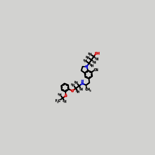 [2H]C([2H])(O)C([2H])([2H])C([2H])([2H])N1CCc2cc(C[C@@H](C)NC([2H])([2H])C([2H])([2H])Oc3ccccc3OC([2H])([2H])C(F)(F)F)cc(C#N)c21